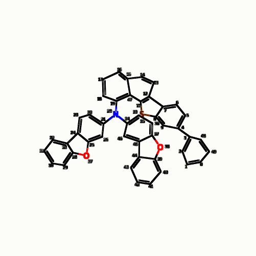 c1ccc(-c2ccc3c(c2)sc2c3ccc3cccc(N(c4ccc5c(c4)oc4ccccc45)c4ccc5oc6ccccc6c5c4)c32)cc1